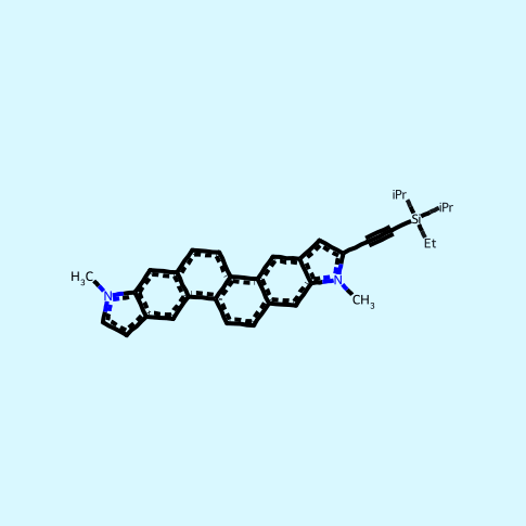 CC[Si](C#Cc1cc2cc3c(ccc4c5cc6ccn(C)c6cc5ccc34)cc2n1C)(C(C)C)C(C)C